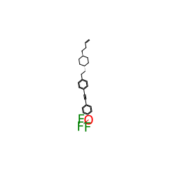 C=CCC[C@H]1CC[C@H](CCc2ccc(C#Cc3ccc(OC(F)(F)F)cc3)cc2)CC1